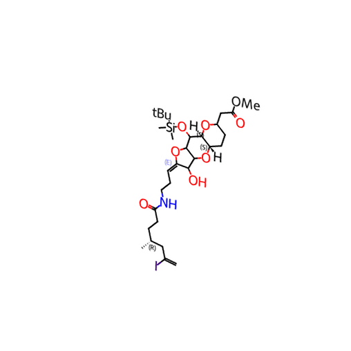 C=C(I)C[C@H](C)CCC(=O)NCC/C=C1/OC2C(O[C@H]3CCC(CC(=O)OC)O[C@@H]3C2O[Si](C)(C)C(C)(C)C)C1O